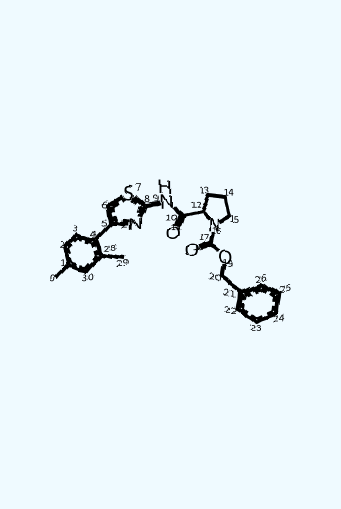 Cc1ccc(-c2csc(NC(=O)C3CCCN3C(=O)OCc3ccccc3)n2)c(C)c1